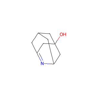 OC12CC3=NC(CC(C3)C1)C2